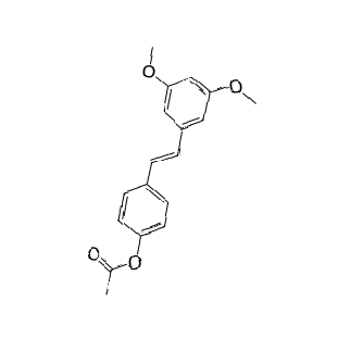 COc1cc(C=Cc2ccc(OC(C)=O)cc2)cc(OC)c1